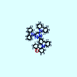 c1ccc2c(c1)oc1cccc(-n3c4ccccc4c4cc(-c5nc(-n6c7ccccc7c7ccccc76)cc(-n6c7ccccc7c7ccccc76)n5)ccc43)c12